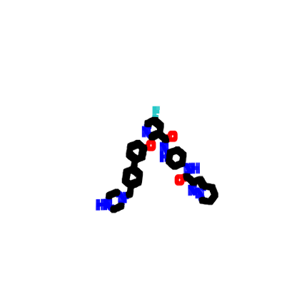 O=C(N[C@H]1CC[C@@H](NC(=O)c2cc(F)cnc2Oc2cccc(-c3ccc(CN4CCNCC4)cc3)c2)CC1)c1cc2n(n1)CCCC2